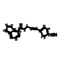 Oc1ccc(C#CCCNc2ncnc3sccc23)cc1